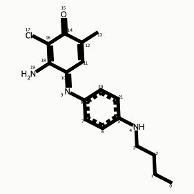 CCCCNc1ccc(/N=C2\C=C(C)C(=O)C(Cl)=C2N)cc1